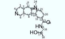 Cc1c2ccncc2cc2c3cc(C(=O)NC[C@@H](C)O)ccc3n(C)c12